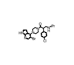 CC(C)NCC(C(=O)N1CCN(c2c(Br)cnc3[nH]ccc23)CC1)c1ccc(Cl)cc1